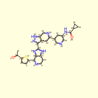 CC(=O)c1ccc(-c2nccc3[nH]c(-c4n[nH]c5cnc(-c6cncc(NC(=O)C7CC7)c6)cc45)nc23)s1